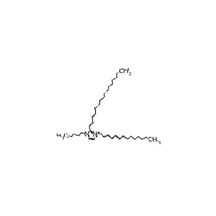 CCCCCCCCCCCCCCCCc1n(CCCCC)cc[n+]1CCCCCCCCCCCCCC